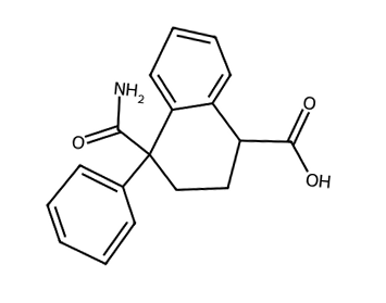 NC(=O)C1(c2ccccc2)CCC(C(=O)O)c2ccccc21